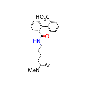 CN[C@@H](CCCCNC(=O)c1ccccc1-c1ccccc1C(=O)O)C(C)=O